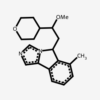 COC(CC1c2c(C)cccc2-c2cncn21)C1CCOCC1